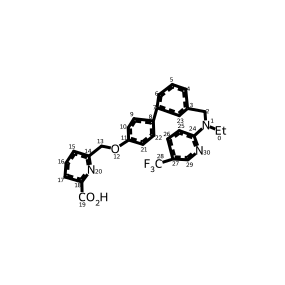 CCN(Cc1cccc(-c2ccc(OCc3cccc(C(=O)O)n3)cc2)c1)c1ccc(C(F)(F)F)cn1